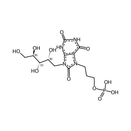 O=c1[nH]c(=O)c2c([nH]1)n(C[C@@H](O)[C@H](O)[C@H](O)CO)c(=O)n2CCCOP(=O)(O)O